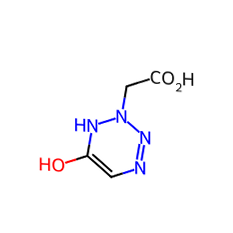 O=C(O)CN1N=NC=C(O)N1